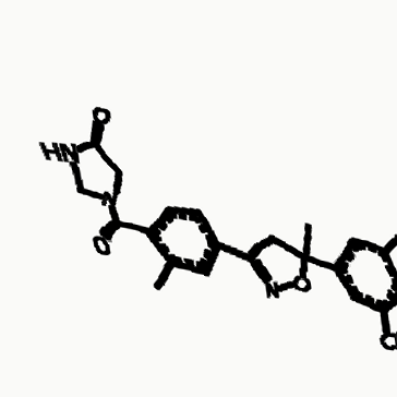 Cc1cc(Cl)cc(C2(C)CC(c3ccc(C(=O)N4CNC(=O)C4)c(C)c3)=NO2)c1